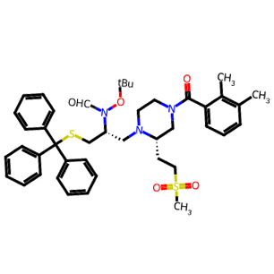 Cc1cccc(C(=O)N2CCN(C[C@H](CSC(c3ccccc3)(c3ccccc3)c3ccccc3)N(C=O)OC(C)(C)C)[C@@H](CCS(C)(=O)=O)C2)c1C